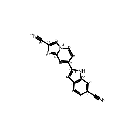 N#Cc1ccc2cc(-c3ccn4cc(C#N)nc4c3)[nH]c2c1